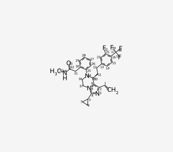 C=Cc1nc(C2CC2)n2c1[C@H](CCc1ccc(C(F)(F)F)c(F)c1)N(c1ccccc1CC(=O)NC)CC2